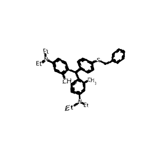 CCN(CC)c1ccc(C(c2ccc(SCc3ccccc3)cc2)c2ccc(N(CC)CC)cc2C)c(C)c1